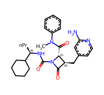 CCC[C@@H](NC(=O)N1C(=O)[C@H](Cc2ccnc(N)c2)[C@H]1C(=O)N(C)c1ccccc1)C1CCCCC1